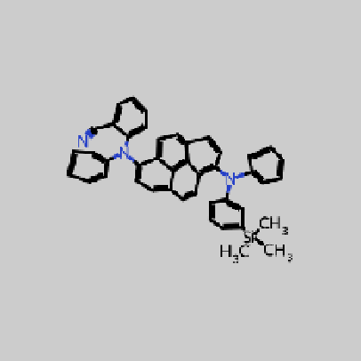 C[Si](C)(C)c1cccc(N(c2ccccc2)c2ccc3ccc4c(N(c5ccccc5)c5ccccc5C#N)ccc5ccc2c3c54)c1